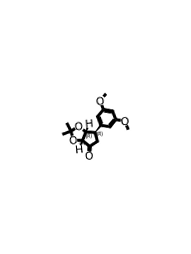 COc1cc(OC)cc([C@H]2CC(=O)[C@@H]3OC(C)(C)O[C@H]23)c1